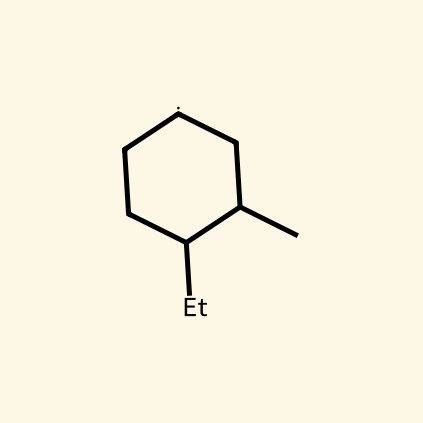 CCC1CC[CH]CC1C